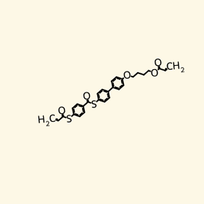 C=CC(=O)OCCCCOc1ccc(-c2ccc(SC(=O)c3ccc(SC(=O)C=C)cc3)cc2)cc1